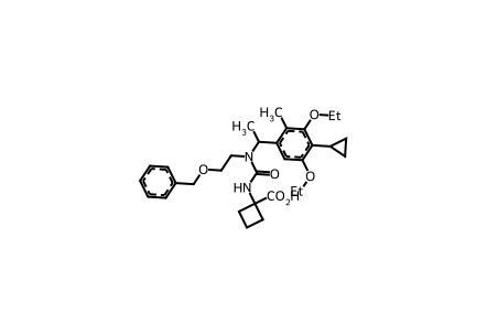 CCOc1cc(C(C)N(CCOCc2ccccc2)C(=O)NC2(C(=O)O)CCC2)c(C)c(OCC)c1C1CC1